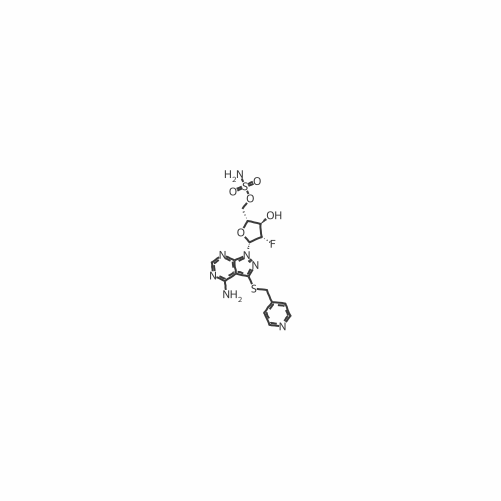 Nc1ncnc2c1c(SCc1ccncc1)nn2[C@@H]1O[C@H](COS(N)(=O)=O)[C@@H](O)[C@@H]1F